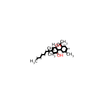 CCCCCCC(C)(C)c1cc(O)c(C2CC(C)=CCC2C(C)C)c(O)c1